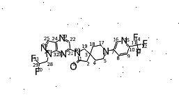 O=C1CC2(CCN(c3ccc(C(F)(F)F)nc3)CC2)CN1c1cnc2cnn(CC(F)F)c2n1